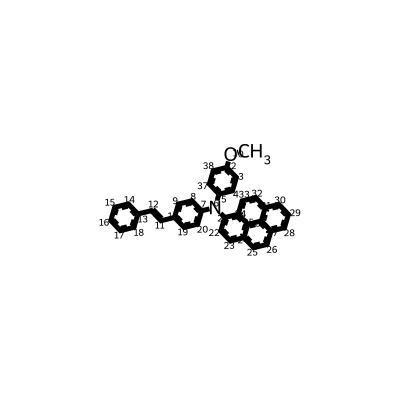 COc1ccc(N(c2ccc(C=Cc3ccccc3)cc2)c2ccc3ccc4cccc5ccc2c3c45)cc1